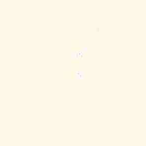 CCC(C)OP(=O)(O)CNc1ccc2cccc(-c3cccc4ccccc34)c2n1